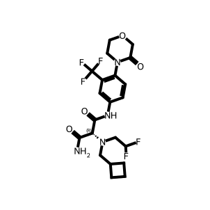 NC(=O)[C@H](C(=O)Nc1ccc(N2CCOCC2=O)c(C(F)(F)F)c1)N(CC(F)F)CC1CCC1